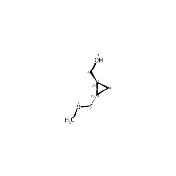 COC[C@H]1C[C@@H]1CO